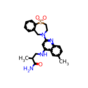 Cc1ccc2nc(N3CCS(=O)(=O)c4ccccc4C3)cc(NCC(C)C(N)=O)c2c1